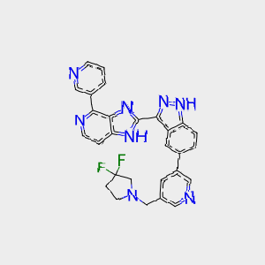 FC1(F)CCN(Cc2cncc(-c3ccc4[nH]nc(-c5nc6c(-c7cccnc7)nccc6[nH]5)c4c3)c2)C1